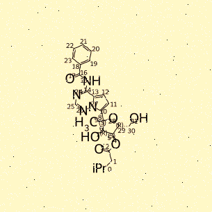 CC(C)CC(=O)O[C@H]1[C@@H](O)[C@](C)(c2ccc3c(NC(=O)c4ccccc4)ncnn23)O[C@@H]1CO